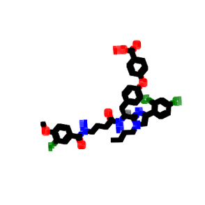 CCCCn1cc(-c2ccc(Cl)cc2Cl)nc1[C@H](Cc1ccc(Oc2ccc(C(=O)O)cc2)cc1)NC(=O)CCCNC(=O)c1ccc(OC)c(F)c1